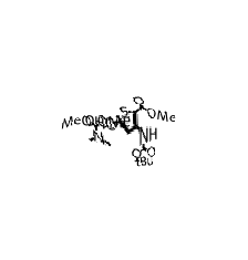 COC(=O)c1sc(C=O)cc1NC(=O)OC(C)(C)C.COC(OC)N(C)C